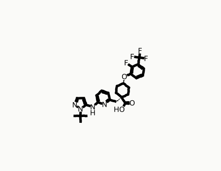 CC(C)(C)n1nccc1Nc1cccc(C[C@]2(C(=O)O)CC[C@H](Oc3cccc(C(F)(F)F)c3F)CC2)n1